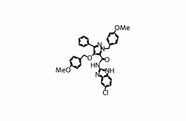 COc1ccc(COc2c(-c3ccccc3)nn(Cc3ccc(OC)cc3)c2C(=O)Nc2nc3cc(Cl)ccc3[nH]2)cc1